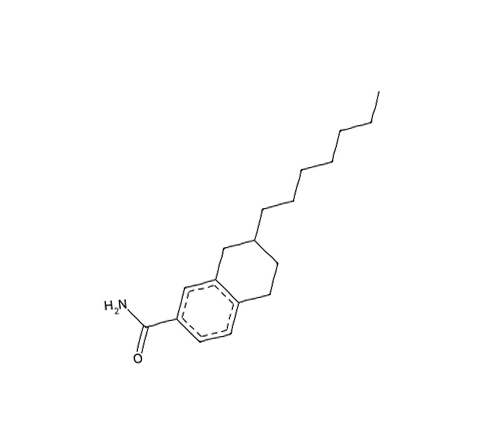 CCCCCCCC1CCc2ccc(C(N)=O)cc2C1